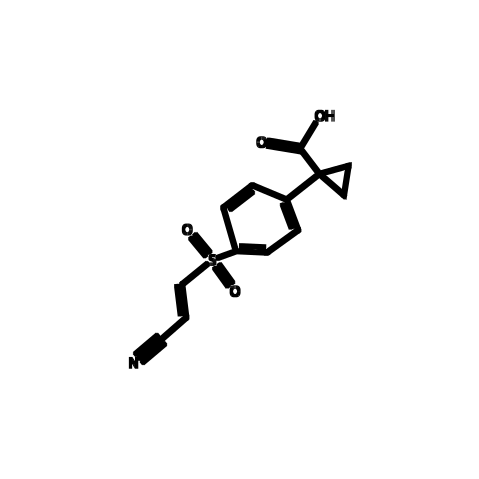 N#CC=CS(=O)(=O)c1ccc(C2(C(=O)O)CC2)cc1